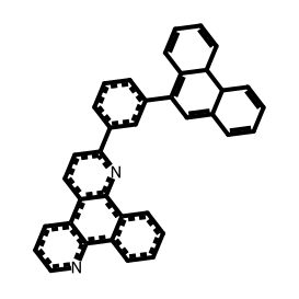 C1=CC2=CC(c3cccc(-c4ccc5c6cccnc6c6ccccc6c5n4)c3)=C3C=CC=CC3C2C=C1